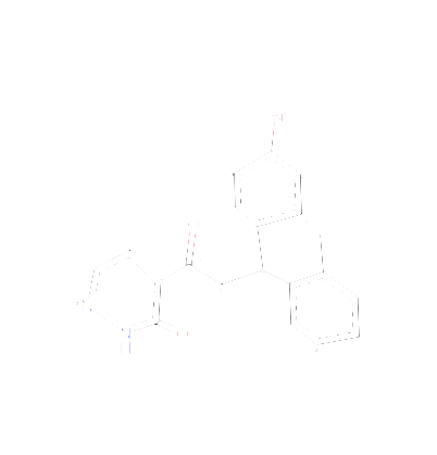 Cc1ccccc1C(CC(=O)c1ccn[nH]c1=O)c1ccc(Br)cc1